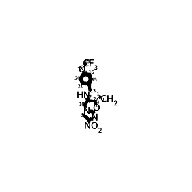 C=C[C@@H]1Oc2nc([N+](=O)[O-])cn2C[C@@H]1NCc1ccc(OC(F)(F)F)cc1